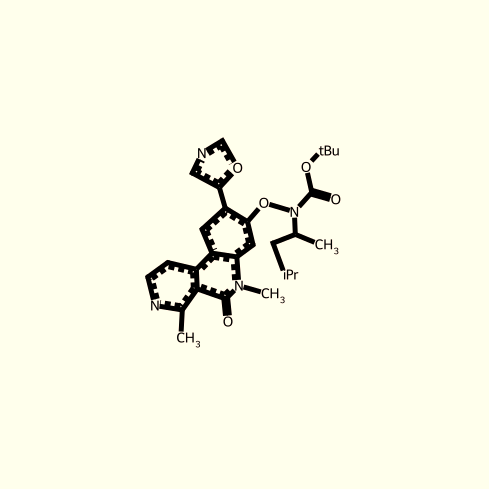 Cc1nccc2c1c(=O)n(C)c1cc(ON(C(=O)OC(C)(C)C)C(C)CC(C)C)c(-c3cnco3)cc21